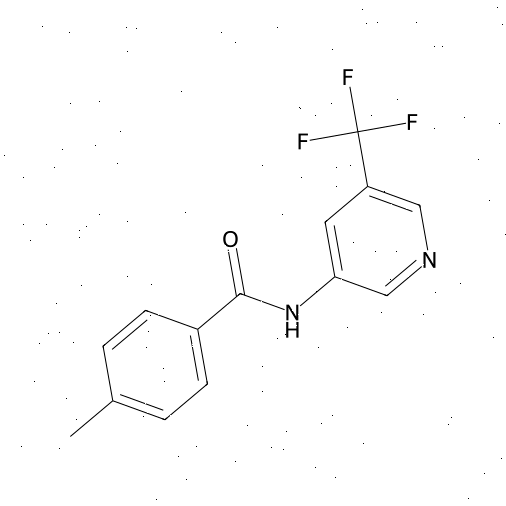 Cc1ccc(C(=O)Nc2cncc(C(F)(F)F)c2)cc1